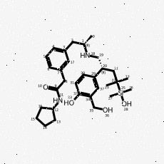 C[C@H](Cc1cccc(CC(=O)NC2CCCC2)c1)NC[C@H](CC(C)(C)[Si](C)(C)O)c1ccc(O)c(CO)c1